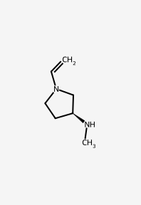 C=CN1CC[C@H](NC)C1